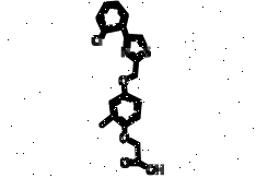 Cc1cc(OCc2nc(-c3ccccc3Cl)cs2)ccc1OCC(=O)O